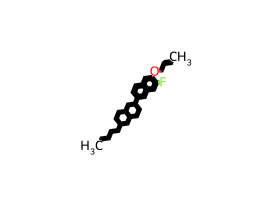 CC=CCOc1cc2ccc(C3CCC4CC(CCCCC)CCC4C3)cc2cc1F